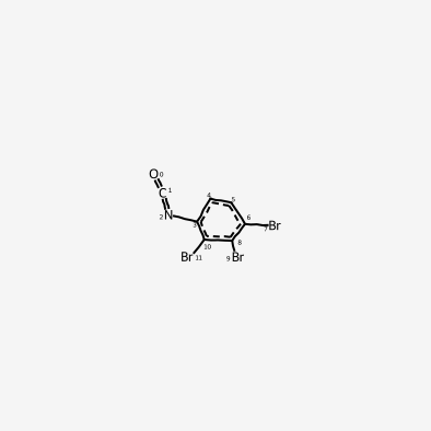 O=C=Nc1ccc(Br)c(Br)c1Br